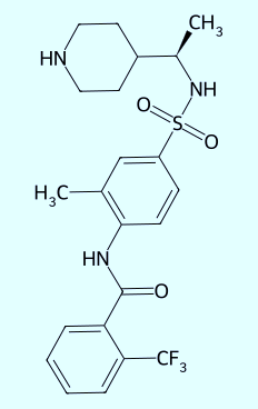 Cc1cc(S(=O)(=O)N[C@H](C)C2CCNCC2)ccc1NC(=O)c1ccccc1C(F)(F)F